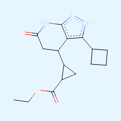 CCOC(=O)C1CC1C1CC(=O)Nc2n[nH]c(C3CCC3)c21